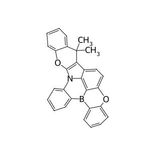 CC1(C)c2ccccc2Oc2c1c1ccc3c4c1n2-c1ccccc1B4c1ccccc1O3